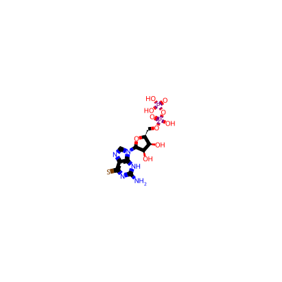 Nc1nc(=S)c2ncn(C3O[C@H](COP(=O)(O)OP(=O)(O)O)[C@@H](O)[C@H]3O)c2[nH]1